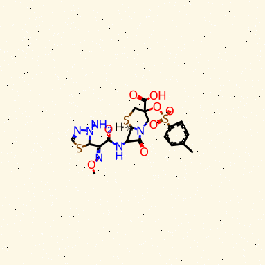 CON=C(C(=O)NC1C(=O)N2CC(OS(=O)(=O)c3ccc(C)cc3)(C(=O)O)CS[C@H]12)C1SC=NN1N